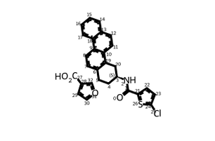 O=C(N[C@H]1CCc2ccc3c(ccc4ccccc43)c2C1)c1ccc(Cl)s1.O=C(O)c1ccoc1